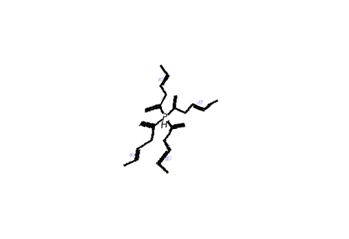 C=C(C/C=C/C)[PH](C(=C)C/C=C/C)(C(=C)C/C=C/C)C(=C)C/C=C/C